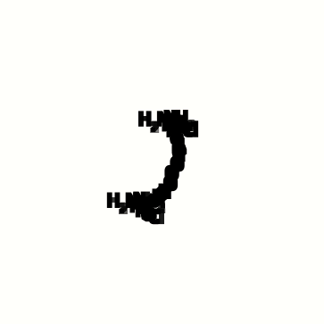 NC(N)=Nc1nc(-c2ccc(N3CCN(CCOCCOCCOCCN4CCN(c5ccc(-c6nc(N=C(N)N)nc7ccc(Cl)cc67)cc5)CC4)CC3)cc2)c2cc(Cl)ccc2n1